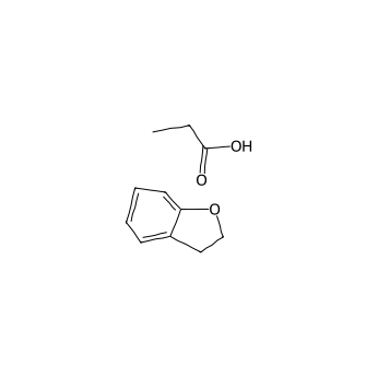 CCC(=O)O.c1ccc2c(c1)CCO2